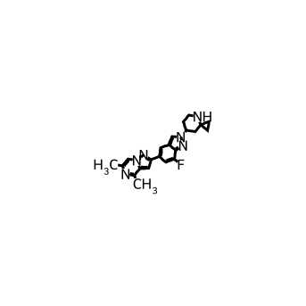 Cc1cn2nc(-c3cc(F)c4nn(C5CCNC6(CC6)C5)cc4c3)cc2c(C)n1